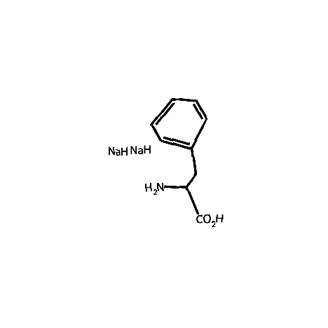 NC(Cc1ccccc1)C(=O)O.[NaH].[NaH]